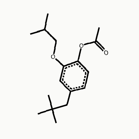 CC(=O)Oc1ccc(CC(C)(C)C)cc1OCC(C)C